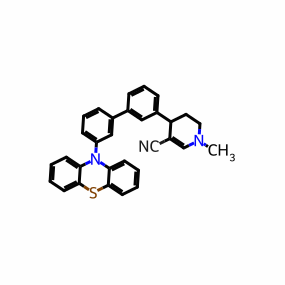 CN1C=C(C#N)C(c2cccc(-c3cccc(N4c5ccccc5Sc5ccccc54)c3)c2)CC1